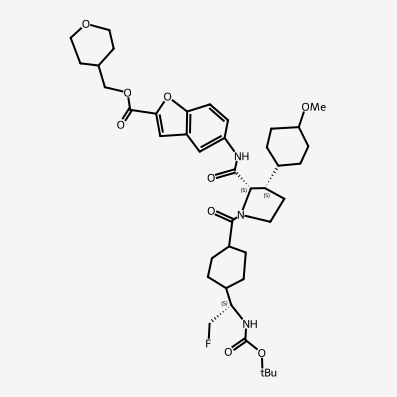 COC1CCC([C@@H]2CCN(C(=O)C3CCC([C@@H](CF)NC(=O)OC(C)(C)C)CC3)[C@@H]2C(=O)Nc2ccc3oc(C(=O)OCC4CCOCC4)cc3c2)CC1